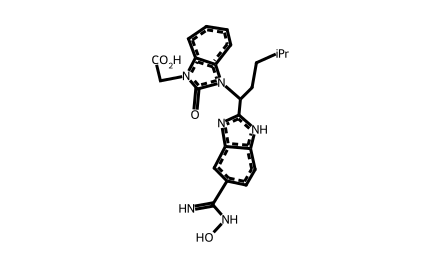 CC(C)CCC(c1nc2cc(C(=N)NO)ccc2[nH]1)n1c(=O)n(CC(=O)O)c2ccccc21